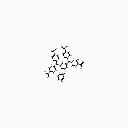 C=C(C)c1ccc(N(c2ccc(C(=C)C)cc2)c2cc(Oc3ccccc3)cc(N(c3ccc(C(=C)C)cc3)c3ccc(C(=C)C)cc3)c2)cc1